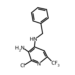 Nc1c(NCc2ccccc2)cc(C(F)(F)F)nc1Cl